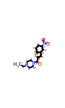 CCN1CCN(C(=O)c2cc3cc([N+](=O)[O-])ccc3s2)CC1